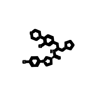 O=C(NC(Cc1ccc(N2CCOCC2)c(Cl)c1)CN1CCCC1)[C@@H]1CCN(c2ccc(Cl)cc2)C1